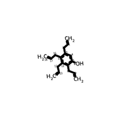 C=CCc1cc(O)c(CC=C)c(CC=C)c1CC=C